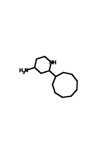 NC1CCNC(C2CCCCCCCC2)C1